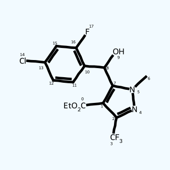 CCOC(=O)c1c(C(F)(F)F)nn(C)c1C(O)c1ccc(Cl)cc1F